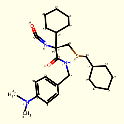 CN(C)c1ccc(CNC(=O)[C@](CSCC2CCCCC2)(N=C=O)C2CCCCC2)cc1